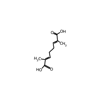 C/C(=C\CC/C=C(\C)C(=O)O)C(=O)O